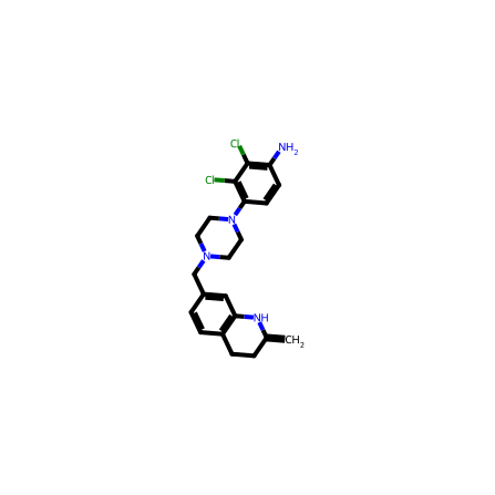 C=C1CCc2ccc(CN3CCN(c4ccc(N)c(Cl)c4Cl)CC3)cc2N1